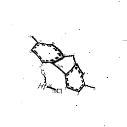 Cc1ccc2c(c1)[CH]c1cc(C)ccc1-2.[Cl][Hf][Cl]